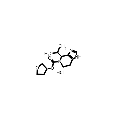 CC(C)[C@H]1c2nc[nH]c2CCN1C(=O)O[C@H]1CCOC1.Cl